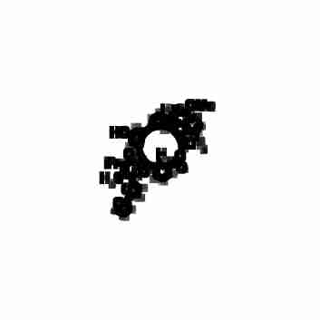 CCn1c(-c2cccnc2[C@H](C)OC)c2c3cc(ccc31)-c1cc(O)cc(c1)C[C@H](NC(=O)[C@H](C(C)C)N(C)C(=O)C1CCC(C3CCCO3)O1)C(=O)N1CCC[C@H](N1)C(=O)OCC(C)(C)C2